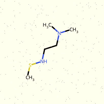 CSNCCN(C)C